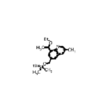 C=C(OCC)c1cc(CO[Si](C)(C)C(C)(C)C)cc2cc(C)cnc12